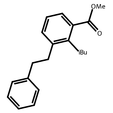 CCC(C)c1c(CCc2ccccc2)cccc1C(=O)OC